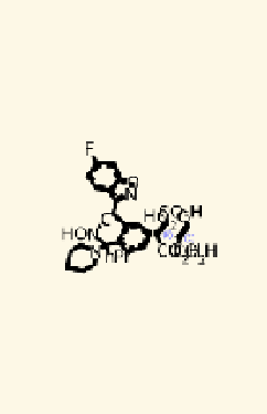 CCCC1(N2CCCCC2)c2ccccc2C(c2noc3cc(F)ccc23)CN1O.O=C(O)/C=C/C(=O)O.O=C(O)/C=C/C(=O)O